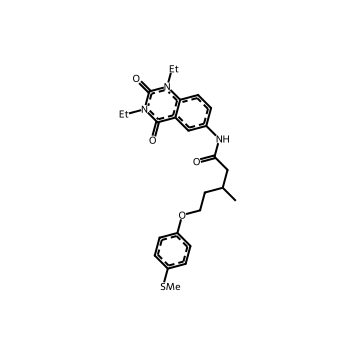 CCn1c(=O)c2cc(NC(=O)CC(C)CCOc3ccc(SC)cc3)ccc2n(CC)c1=O